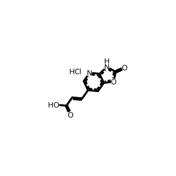 Cl.O=C(O)/C=C/c1cnc2[nH]c(=O)oc2c1